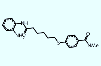 CNC(=O)c1ccc(SCCCCCC(=O)Nc2ccccc2N)cc1